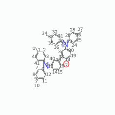 Cc1ccc(N(c2ccc(C)cc2)c2ccc3oc4ccc(N(c5ccc(C)cc5)c5ccc(C)cc5)cc4c3c2)cc1